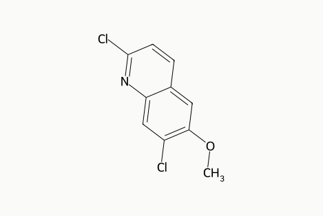 COc1cc2ccc(Cl)nc2cc1Cl